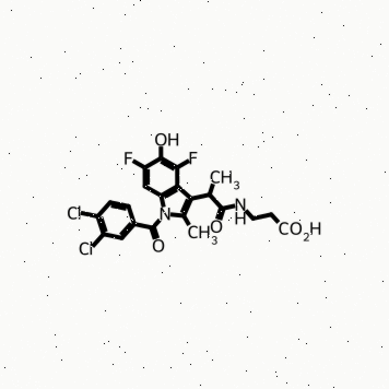 Cc1c(C(C)C(=O)NCCC(=O)O)c2c(F)c(O)c(F)cc2n1C(=O)c1ccc(Cl)c(Cl)c1